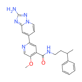 COc1cnc(-c2ccn3nc(N)nc3c2)cc1C(=O)NCCC(C)c1ccccc1